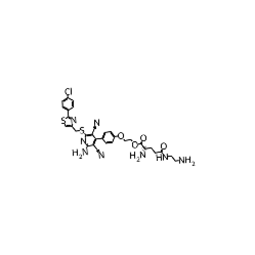 N#Cc1c(N)nc(SCc2csc(-c3ccc(Cl)cc3)n2)c(C#N)c1-c1ccc(OCCOC(=O)[C@@H](N)CCC(=O)NCCN)cc1